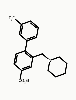 CCOC(=O)c1ccc(-c2cccc(C(F)(F)F)c2)c(CN2CCCCC2)c1